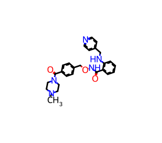 CN1CCN(C(=O)c2ccc(CONC(=O)c3ccccc3NCc3ccncc3)cc2)CC1